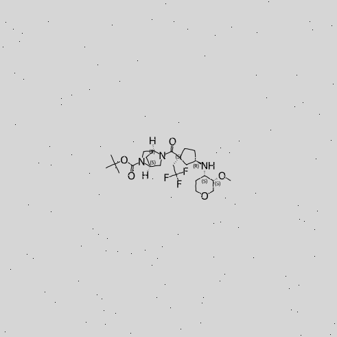 CO[C@@H]1COCC[C@@H]1N[C@@H]1CC[C@](CC(F)(F)F)(C(=O)N2C[C@@H]3C[C@H]2CN3C(=O)OC(C)(C)C)C1